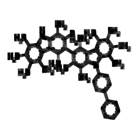 Bc1c(B)c(B)c2c([nH]c3c(B)c(B)c(-c4c(B)c(B)c5c(c4B)c4c(B)c(B)c(B)c(B)c4n5-c4ccc(-c5ccccc5)cc4)c(B)c32)c1B